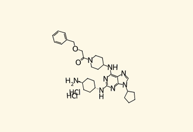 Cl.Cl.N[C@H]1CC[C@H](Nc2nc(NC3CCN(C(=O)COCc4ccccc4)CC3)c3ncn(C4CCCC4)c3n2)CC1